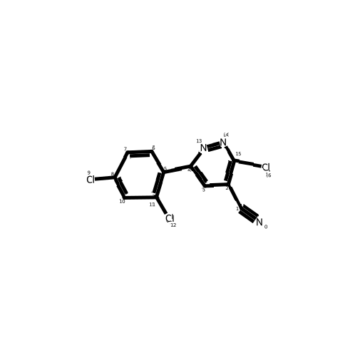 N#Cc1cc(-c2ccc(Cl)cc2Cl)nnc1Cl